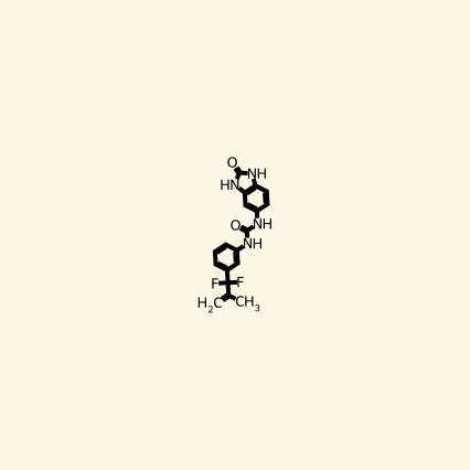 C=C(C)C(F)(F)c1cccc(NC(=O)Nc2ccc3[nH]c(=O)[nH]c3c2)c1